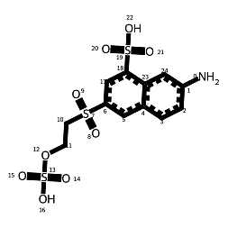 Nc1ccc2cc(S(=O)(=O)CCOS(=O)(=O)O)cc(S(=O)(=O)O)c2c1